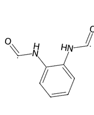 O=[C]Nc1ccccc1N[C]=O